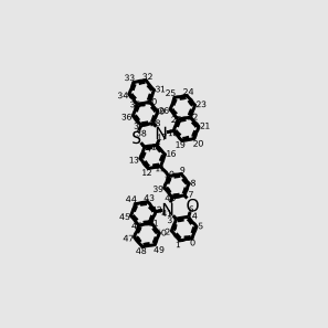 c1ccc2c(c1)Oc1ccc(-c3ccc4c(c3)N(c3cccc5ccccc35)c3cc5ccccc5cc3S4)cc1N2c1cccc2ccccc12